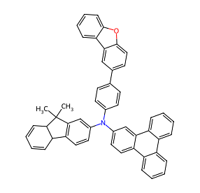 CC1(C)c2cc(N(c3ccc(-c4ccc5oc6ccccc6c5c4)cc3)c3ccc4c5ccccc5c5ccccc5c4c3)ccc2C2C=CC=CC21